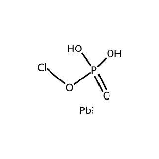 O=P(O)(O)OCl.[Pb]